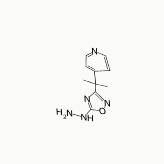 CC(C)(c1ccncc1)c1noc(NN)n1